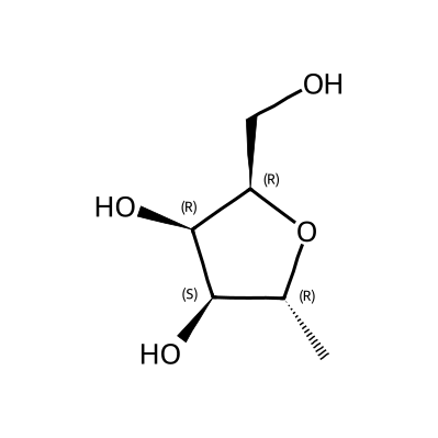 C[C@H]1O[C@H](CO)[C@H](O)[C@@H]1O